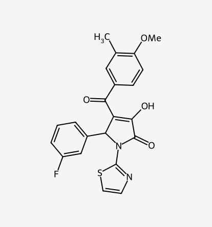 COc1ccc(C(=O)C2=C(O)C(=O)N(c3nccs3)C2c2cccc(F)c2)cc1C